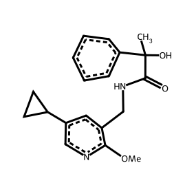 COc1ncc(C2CC2)cc1CNC(=O)C(C)(O)c1ccccc1